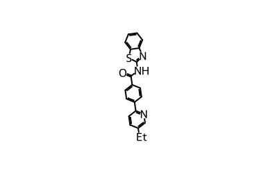 CCc1ccc(-c2ccc(C(=O)Nc3nc4ccccc4s3)cc2)nc1